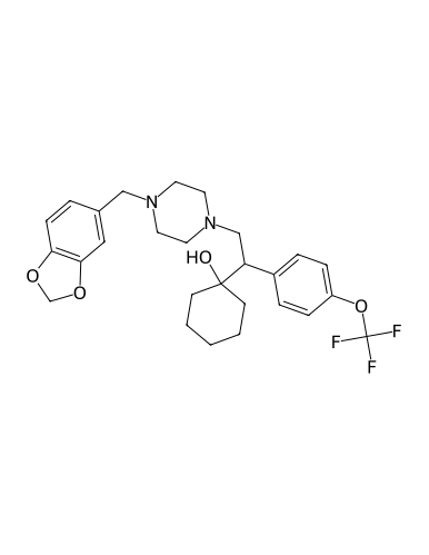 OC1(C(CN2CCN(Cc3ccc4c(c3)OCO4)CC2)c2ccc(OC(F)(F)F)cc2)CCCCC1